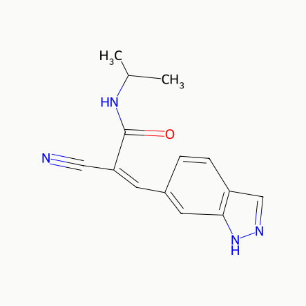 CC(C)NC(=O)C(C#N)=Cc1ccc2cn[nH]c2c1